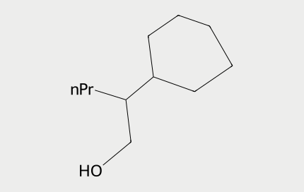 CCCC(CO)C1CCCCC1